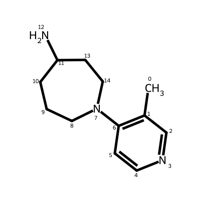 Cc1cnccc1N1CCCC(N)CC1